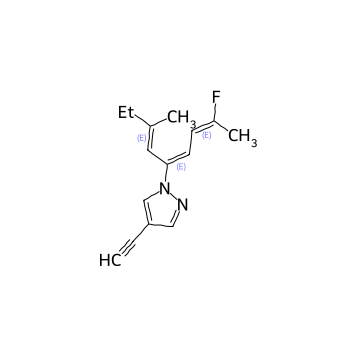 C#Cc1cnn(C(/C=C(\C)CC)=C/C=C(\C)F)c1